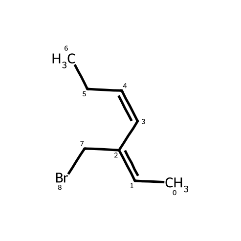 C/C=C(\C=C/CC)CBr